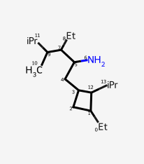 CCC1CC(CC(N)C(CC)C(C)C(C)C)C1C(C)C